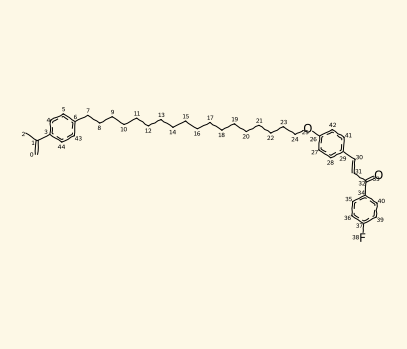 C=C(C)c1ccc(CCCCCCCCCCCCCCCCCCOc2ccc(C=CC(=O)c3ccc(F)cc3)cc2)cc1